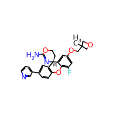 CC1(COc2cc(F)c3c(c2)[C@]2(CCOC(N)=N2)c2cc(-c4cccnc4)ccc2O3)COC1